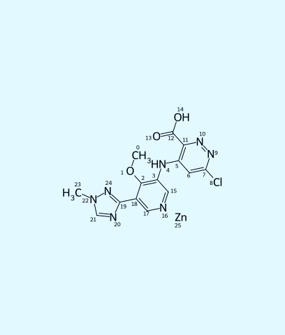 COc1c(Nc2cc(Cl)nnc2C(=O)O)cncc1-c1ncn(C)n1.[Zn]